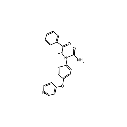 NC(=O)N(NC(=O)c1ccccc1)c1ccc(Oc2ccncc2)cc1